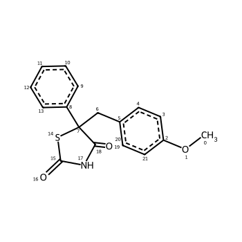 COc1ccc(CC2(c3ccccc3)SC(=O)NC2=O)cc1